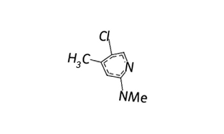 CNc1cc(C)c(Cl)cn1